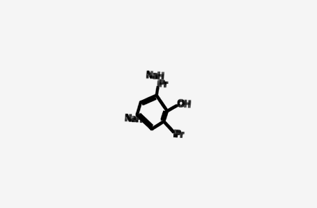 CC(C)c1cccc(C(C)C)c1O.[NaH].[NaH]